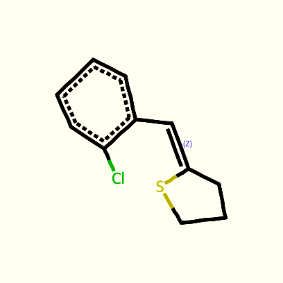 Clc1ccccc1/C=C1/CCCS1